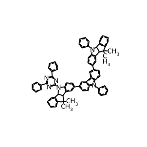 CC1(C)c2ccccc2C2C1c1cc(-c3ccc4c(c3)c3cc(-c5ccc6c(c5)C5C(c7ccccc7C5(C)C)N6c5nc(-c6ccccc6)nc(-c6ccccc6)n5)ccc3n4-c3ccccc3)ccc1N2c1ccccc1